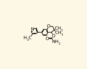 Cc1cncc(-c2ccc3c(c2)OCC(C)(C)C3OC(N)=O)c1